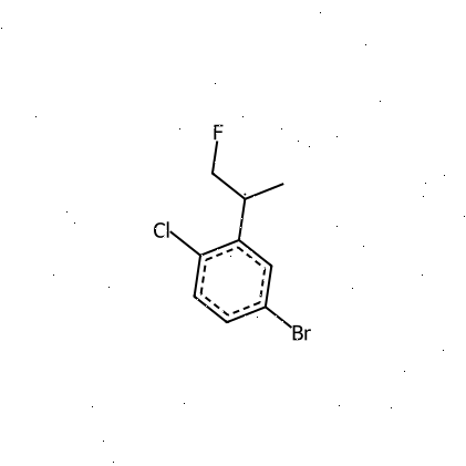 C[C](CF)c1cc(Br)ccc1Cl